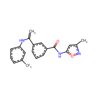 C=C(Nc1cccc(C(F)(F)F)c1)c1cccc(C(=O)Nc2cc(C)no2)c1